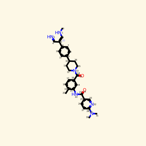 CN/C=C(\C=N)c1ccc(C2CCN(C(=O)c3ccc(C)c(NC(=O)c4ccc(N(C)C)nc4)c3)CC2)cc1